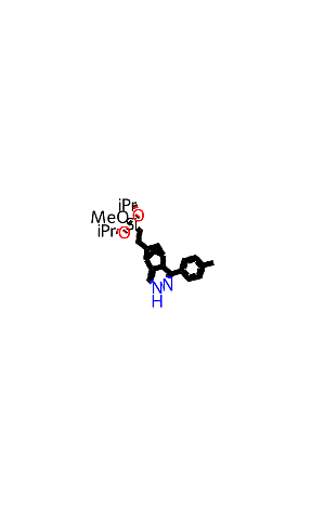 CO[Si](CCC1CC2CC1C1=CNN=C(c3ccc(C)cc3)C12)(OC(C)C)OC(C)C